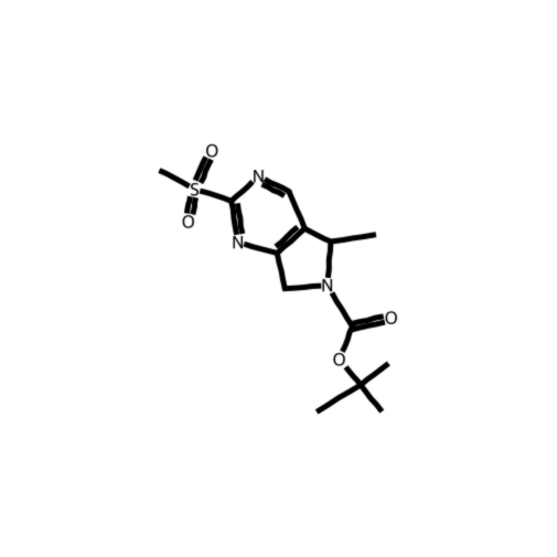 CC1c2cnc(S(C)(=O)=O)nc2CN1C(=O)OC(C)(C)C